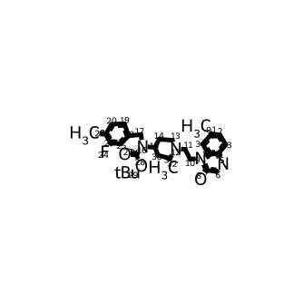 Cc1ccc2ncc(=O)n(CCN3CCC(N(Cc4ccc(C)c(F)c4)C(=O)OC(C)(C)C)CC3C)c2c1